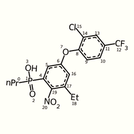 CCCP(=O)(O)c1cc(Oc2ccc(C(F)(F)F)cc2Cl)cc(CC)c1[N+](=O)[O-]